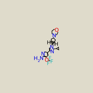 Nc1ncc(-c2cn([C@H]3[C@@H]4CC(N5CCCOCC5)C[C@@H]43)c(C3CC3)n2)cc1OC(F)(F)F